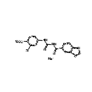 O=C(NC(=O)c1ccc2ncoc2c1)Nc1ccc(C(=O)[O-])c(Cl)c1.[Na+]